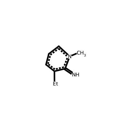 CCc1cccn(C)c1=N